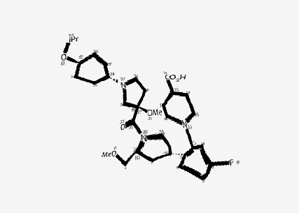 COC[C@@H]1C[C@@H](c2ccc(F)cc2N2CCC(C(=O)O)CC2)CN1C(=O)[C@@]1(OC)CCN([C@H]2CC[C@H](OC(C)C)CC2)C1